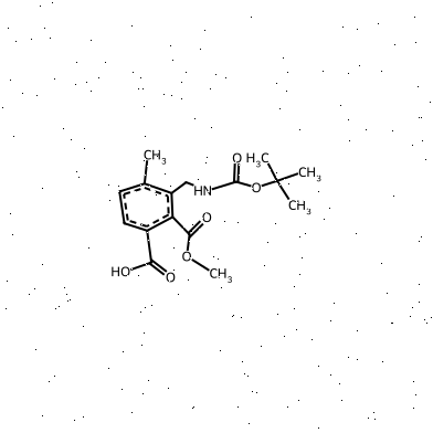 COC(=O)c1c(C(=O)O)ccc(C)c1CNC(=O)OC(C)(C)C